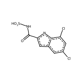 O=C(NS(=O)(=O)O)c1cc2cc(Cl)cc(Cl)n2n1